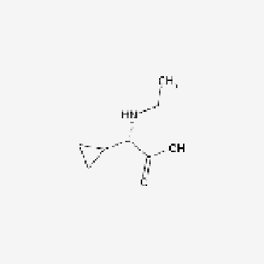 CCN[C@H](C(=O)O)C1CC1